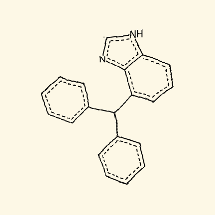 [c]1nc2c(C(c3ccccc3)c3ccccc3)cccc2[nH]1